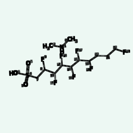 CNC.O=S(=O)(O)CC(F)C(F)C(F)C(F)C(F)C(F)CCCF